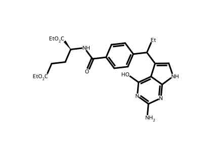 CCOC(=O)CC[C@H](NC(=O)c1ccc(C(CC)c2c[nH]c3nc(N)nc(O)c23)cc1)C(=O)OCC